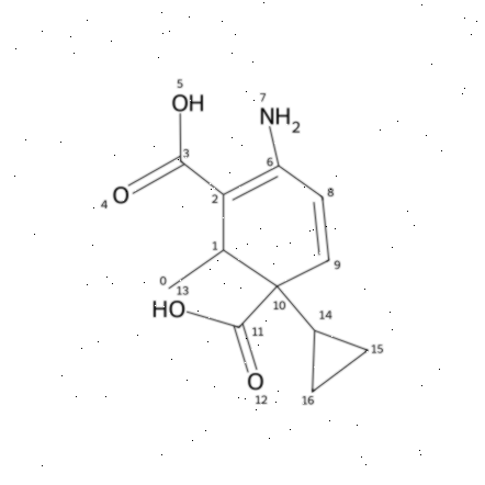 CC1C(C(=O)O)=C(N)C=CC1(C(=O)O)C1CC1